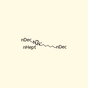 CCCCCCCCCCCCCCCCC[n+]1ccn(CCCCCCCCCCC)c1CCCCCCC